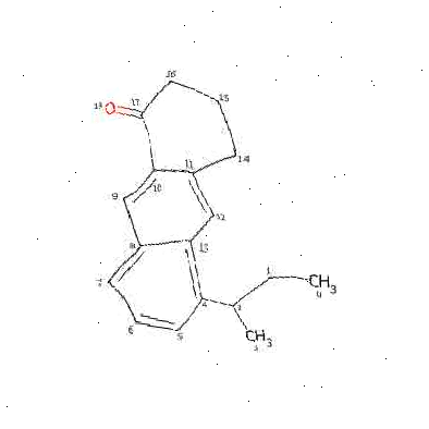 CCC(C)c1cccc2cc3c(cc12)CCCC3=O